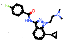 CN(C)CCn1nc(NC(=O)c2ccc(F)cc2)c2cccc(C3CC3)c21